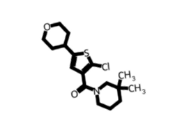 CC1(C)CCCN(C(=O)c2cc(C3CCOCC3)sc2Cl)C1